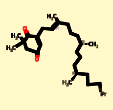 C/C(=C\CC1=CC(=O)CC(C)(C)C1=O)CCC[C@H](C)CCC[C@H](C)CCCC(C)C